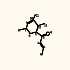 CC=CC(=O)C1CC(C)C=C(C)C1C